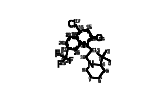 CC(C)(C)C1C[CH]CCN1CCn1c(=O)cc(Cl)c2ccc(C(F)(F)F)cc21